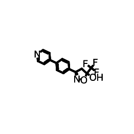 OC1(C(F)(F)F)CC(c2ccc(-c3ccncc3)cc2)=NO1